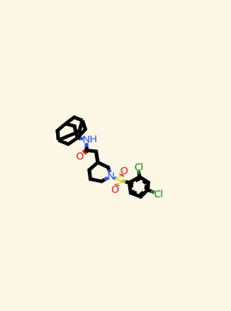 O=C(CC1CCCN(S(=O)(=O)c2ccc(Cl)cc2Cl)C1)NC12CC3CC(CC(C3)C1)C2